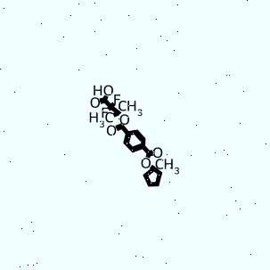 CC1(OC(=O)c2ccc(C(=O)OC(C)(C)C(F)(F)C(=O)O)cc2)CCCC1